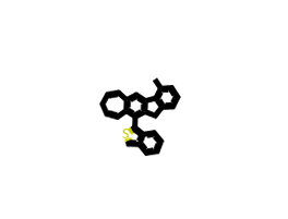 Cc1cccc2c1-c1cc3c(c(-c4scc5ccccc45)c1C2)C=CCC=C3